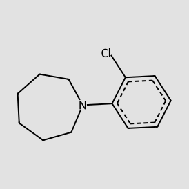 Clc1ccccc1N1CCCCCC1